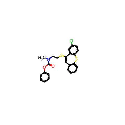 CN(CCSC1=Cc2ccccc2Sc2ccc(Cl)cc21)C(=O)Oc1ccccc1